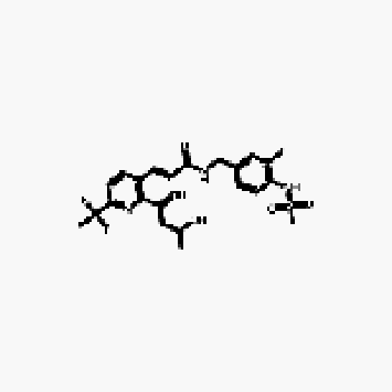 CC(O)CC(=N)c1nc(C(F)(F)F)ccc1C=CC(=O)NCc1ccc(NS(C)(=O)=O)c(F)c1